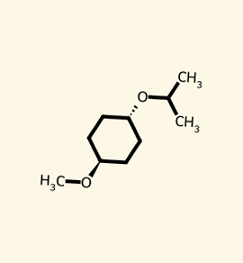 CO[C@H]1CC[C@H](OC(C)C)CC1